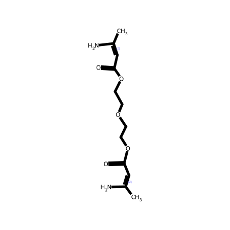 C/C(N)=C/C(=O)OCCOCCOC(=O)/C=C(/C)N